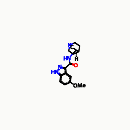 COc1ccc2[nH]nc(C(=O)N[C@H]3CN4CCC3CC4)c2c1